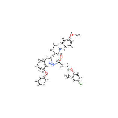 COc1ccc(CN2CCCC(C(Cc3cccc(Oc4ccccc4)c3)NC(=O)CCCOc3ccc(Cl)cc3C)C2)cc1